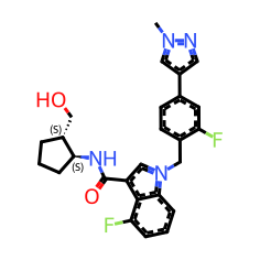 Cn1cc(-c2ccc(Cn3cc(C(=O)N[C@H]4CCC[C@@H]4CO)c4c(F)cccc43)c(F)c2)cn1